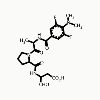 CC(NC(=O)c1cc(F)c(N(C)C)c(F)c1)C(=O)N1CCCC1C(=O)NC(C=O)CC(=O)O